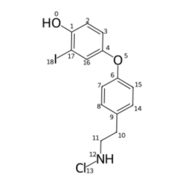 Oc1ccc(Oc2ccc(CCNCl)cc2)cc1I